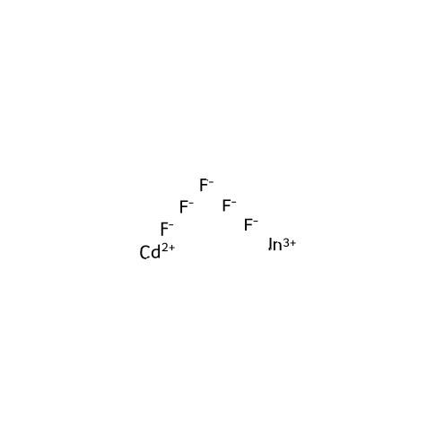 [Cd+2].[F-].[F-].[F-].[F-].[F-].[In+3]